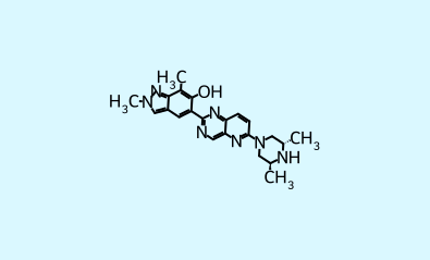 Cc1c(O)c(-c2ncc3nc(N4C[C@H](C)N[C@@H](C)C4)ccc3n2)cc2cn(C)nc12